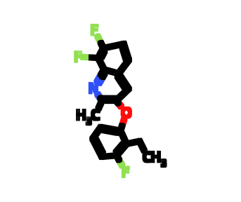 CCc1c(F)cccc1Oc1cc2ccc(F)c(F)c2nc1C